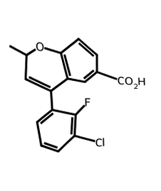 CC1C=C(c2cccc(Cl)c2F)c2cc(C(=O)O)ccc2O1